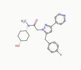 CN(C(=O)Cn1nc(-c2ccncc2)cc1Cc1ccc(F)cc1)[C@H]1CC[C@@H](O)CC1